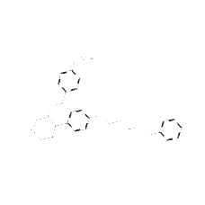 CSc1ccc(COC2CNCC(O)C2c2ccc(OCCCOCc3ccccc3)cc2)cc1